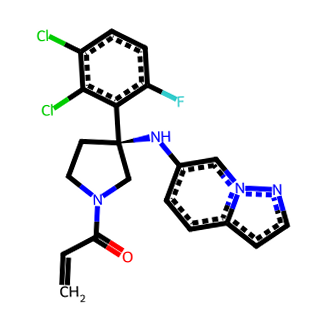 C=CC(=O)N1CC[C@](Nc2ccc3ccnn3c2)(c2c(F)ccc(Cl)c2Cl)C1